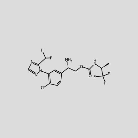 C[C@H](NC(=O)OC[C@@H](N)c1ccc(Cl)c(-n2ncnc2C(F)F)c1)C(F)(F)F